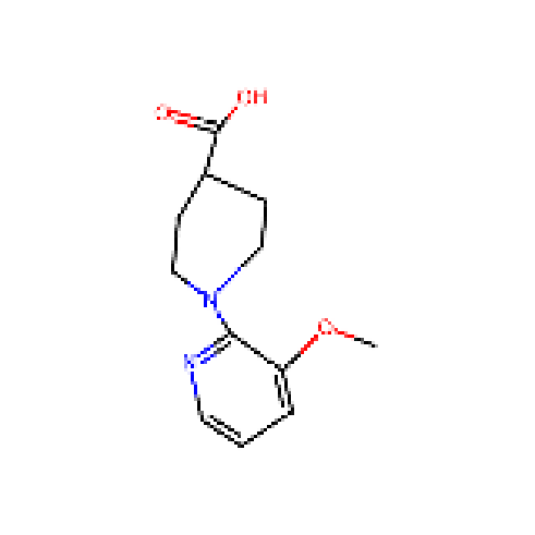 COc1cccnc1N1CCC(C(=O)O)CC1